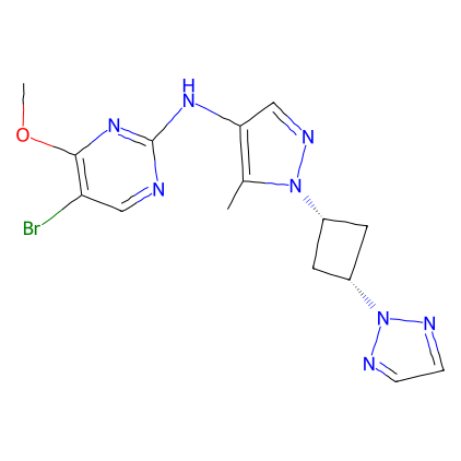 COc1nc(Nc2cnn([C@H]3C[C@@H](n4nccn4)C3)c2C)ncc1Br